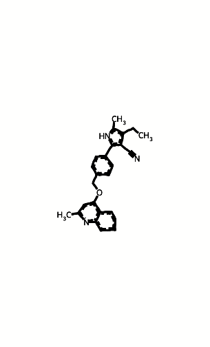 CCc1c(C)[nH]c(-c2ccc(COc3cc(C)nc4ccccc34)cc2)c1C#N